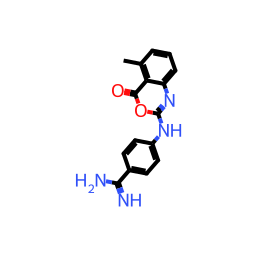 Cc1cccc2nc(Nc3ccc(C(=N)N)cc3)oc(=O)c12